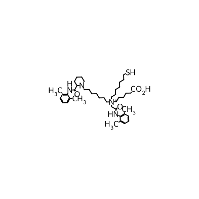 Cc1cccc(C)c1NC(=O)C[N+](CCCCCCCS)(CCCCCCCN1CCCCC1C(=O)Nc1c(C)cccc1C)CCCCCC(=O)O